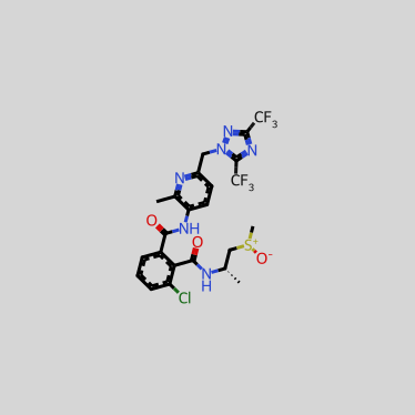 Cc1nc(Cn2nc(C(F)(F)F)nc2C(F)(F)F)ccc1NC(=O)c1cccc(Cl)c1C(=O)N[C@@H](C)C[S+](C)[O-]